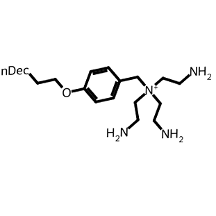 CCCCCCCCCCCCOc1ccc(C[N+](CCN)(CCN)CCN)cc1